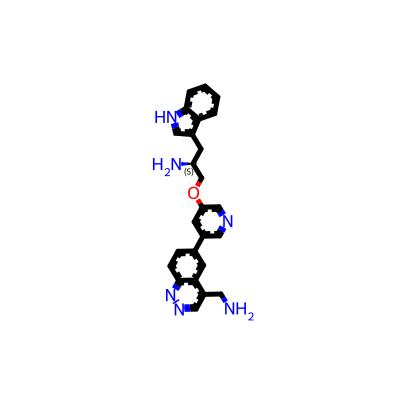 NCc1cnnc2ccc(-c3cncc(OC[C@@H](N)Cc4c[nH]c5ccccc45)c3)cc12